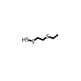 CCSCCSS